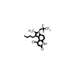 Cc1c(CCCI)c2c3c(Cl)cc(=O)[nH]c3ccc2n1CC(F)(F)C(F)(F)F